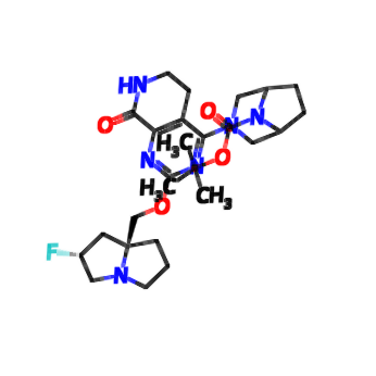 CC(C)(C)OC(=O)N1C2CCC1CN(c1nc(OC[C@@]34CCCN3C[C@H](F)C4)nc3c1CCNC3=O)C2